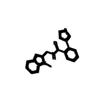 Cn1c(CNC(=O)c2ccccc2-c2ccsc2)cc2ccccc21